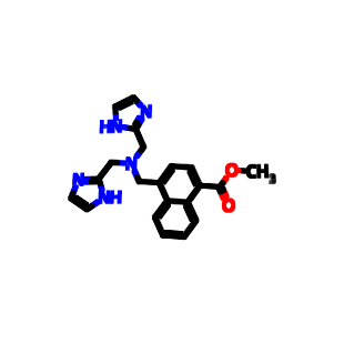 COC(=O)c1ccc(CN(Cc2ncc[nH]2)Cc2ncc[nH]2)c2ccccc12